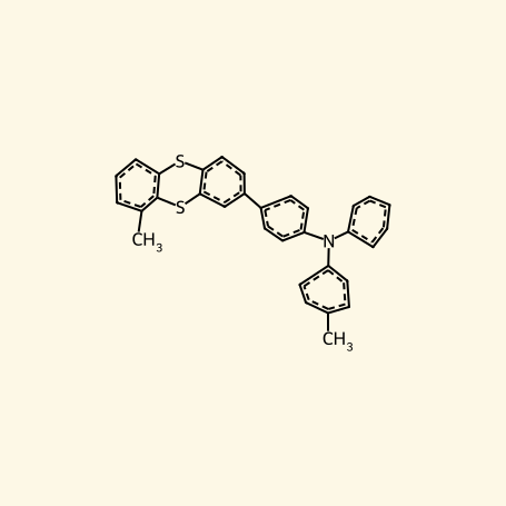 Cc1ccc(N(c2ccccc2)c2ccc(-c3ccc4c(c3)Sc3c(C)cccc3S4)cc2)cc1